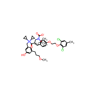 COCCCc1cc(O)cc(C[N+](C(=O)C(Cc2ccc(OCCOc3c(Cl)cc(C)cc3Cl)cc2)CN(C(=O)[O-])C(C)(C)C)(C2CC2)C2CC2)c1